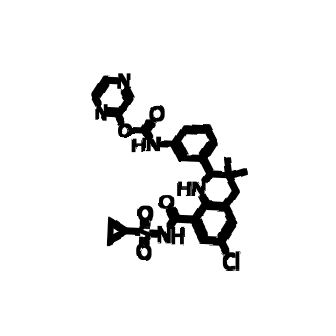 CC1(C)Cc2cc(Cl)cc(C(=O)NS(=O)(=O)C3CC3)c2NC1c1cccc(NC(=O)Oc2cnccn2)c1